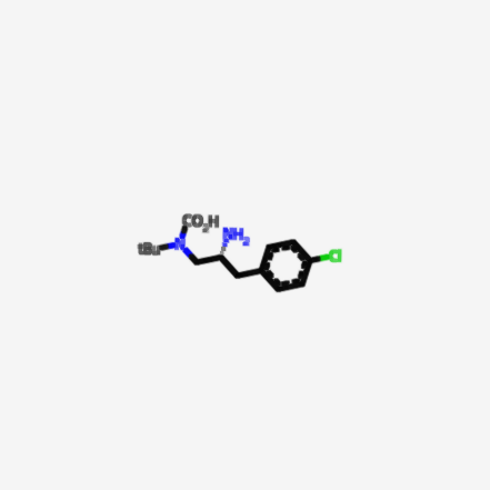 CC(C)(C)N(C[C@H](N)Cc1ccc(Cl)cc1)C(=O)O